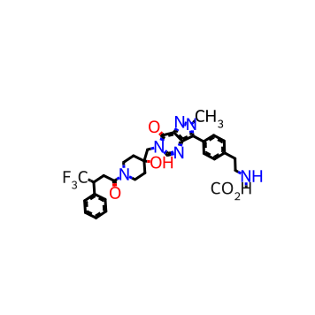 Cn1nc2c(=O)n(CC3(O)CCN(C(=O)CC(c4ccccc4)C(F)(F)F)CC3)cnc2c1-c1ccc(CCNC(=O)O)cc1